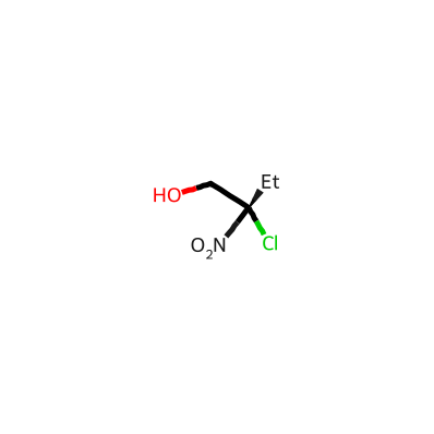 CC[C@](Cl)(CO)[N+](=O)[O-]